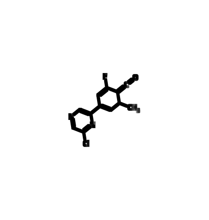 CC1C=C(c2cncc(Cl)n2)C=C(F)C1=C=O